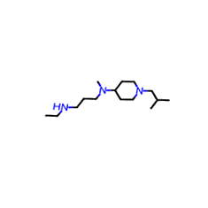 CCNCCCN(C)C1CCN(CC(C)C)CC1